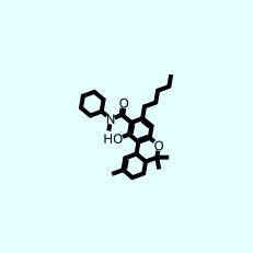 CCCCCc1cc2c(c(O)c1C(=O)N(C)C1CCCCC1)C1C=C(C)CCC1C(C)(C)O2